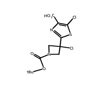 CC(C)(C)OC(=O)N1CC(Cl)(c2nc(C(=O)O)c(Cl)s2)C1